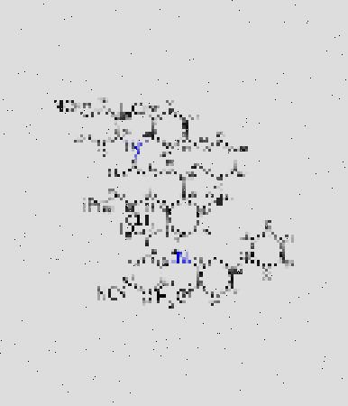 C=Cc1c(N(c2ccc(C#N)cc2)c2cc(-c3ccccc3)ccc2C)cc(C(C)C)c2ccc3c(N(c4ccc(C#N)cc4)c4cc(-c5ccccc5)ccc4C)cc(C(C)C)c(C)c3c12